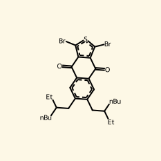 CCCCC(CC)Cc1cc2c(cc1CC(CC)CCCC)C(=O)c1c(Br)sc(Br)c1C2=O